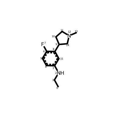 CCNc1ccc(F)c(C2CCN(C)C2)c1